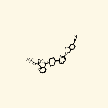 COC(=O)c1ncccc1C(=O)N1CCC(c2cccc(OCc3ccc(C#N)cc3F)n2)CC1